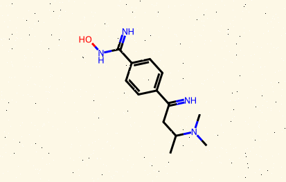 CC(CC(=N)c1ccc(C(=N)NO)cc1)N(C)C